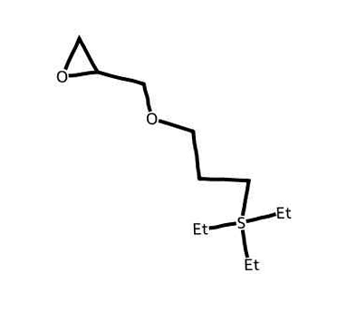 CCS(CC)(CC)CCCOCC1CO1